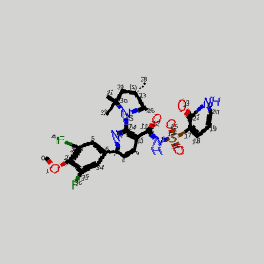 COc1c(F)cc(-c2ccc(C(=O)NS(=O)(=O)c3ccc[nH]c3=O)c(N3C[C@@H](C)CC3(C)C)n2)cc1F